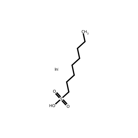 CCCCCCCCS(=O)(=O)O.[In]